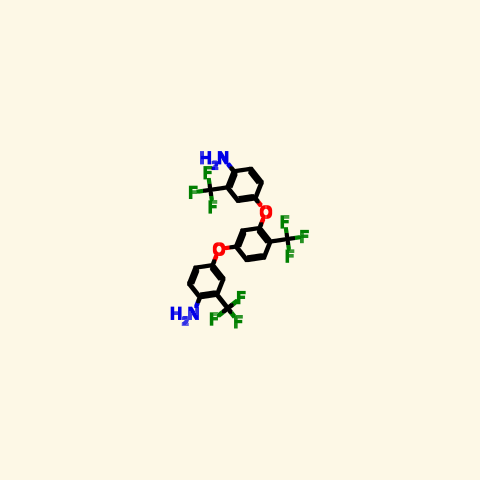 Nc1ccc(Oc2ccc(C(F)(F)F)c(Oc3ccc(N)c(C(F)(F)F)c3)c2)cc1C(F)(F)F